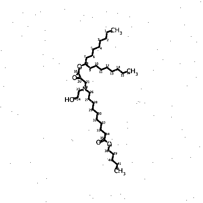 CCCCCCCCC(CCCCCCCC)OC1OC1CN(CCO)CCCCCCCCCC(=O)OCCCCC